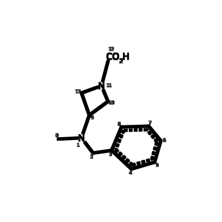 CN(Cc1ccccc1)C1CN(C(=O)O)C1